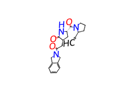 C#CC1CCCN1C(=O)[C@@H]1C[C@@H](CC(=O)N2Cc3ccccc3C2)C(=O)N1